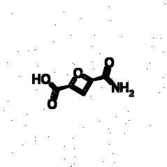 NC(=O)[C@H]1C[C@@H](C(=O)O)O1